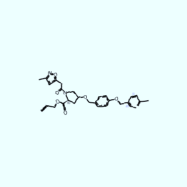 C=CCOC(=O)[C@@H]1CC(OCc2ccc(OCC(/C=C\C(=C)C)=C/C)cc2)CN1C(=O)Cc1cc(C)no1